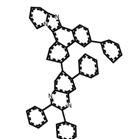 c1ccc(-c2ccc3c(c2)c2cc(-c4cc5nc(-c6ccccc6)c(-c6ccccc6)nc5cc4-c4ccccc4)ccc2c2c3nc3ccccn32)cc1